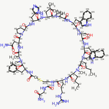 CCCC[C@H]1C(=O)N(C)[C@@H](CCCC)C(=O)N[C@@H](CCCNC(=N)N)C(=O)N[C@H](C(=O)NCC(N)=O)CSCC(=O)N[C@@H](Cc2ccccc2)C(=O)N(C)[C@@H](C)C(=O)N[C@@H](CC(N)=O)C(=O)N2CCCC2C(=O)N[C@@H](Cc2cnc[nH]2)C(=O)N[C@@H](CC(C)C)C(=O)N(C)[C@@H](C)C(=O)N[C@@H](Cc2c[nH]c3ccccc23)C(=O)N[C@@H](CO)C(=O)N[C@@H](Cc2c[nH]c3ccccc23)C(=O)N1C